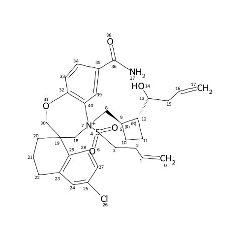 C=CCCS(=O)(=O)[N+]1(C[C@@H]2CC[C@H]2C(O)CC=C)CC2(CCCc3cc(Cl)ccc32)COc2ccc(C(N)=O)cc21